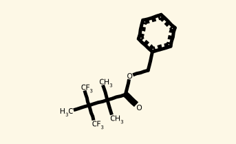 CC(C)(C(=O)OCc1ccccc1)C(C)(C(F)(F)F)C(F)(F)F